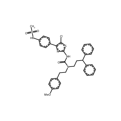 COc1ccc(CCN(CCC(c2ccccc2)c2ccccc2)C(=O)Nc2nc(-c3ccc(NS(C)(=O)=O)cc3)c(Cl)s2)cc1